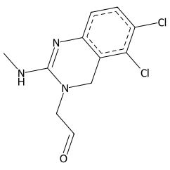 CNC1=Nc2ccc(Cl)c(Cl)c2CN1CC=O